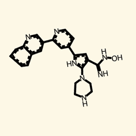 N=C(NO)c1cc(-c2ccnc(-c3cnc4ccccc4c3)c2)[nH]c1N1CCNCC1